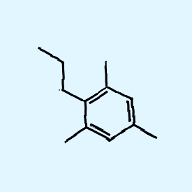 CC[CH]c1c(C)cc(C)cc1C